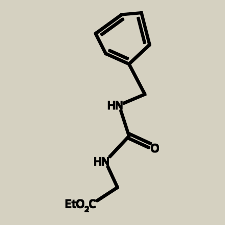 CCOC(=O)CNC(=O)NCc1ccccc1